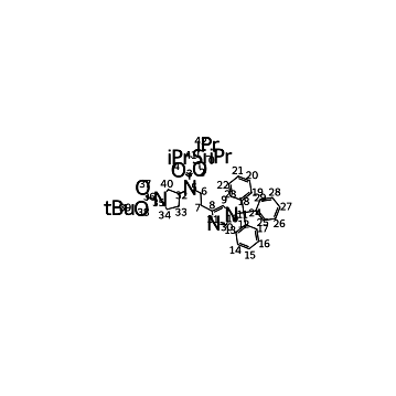 CC(C)[Si](OC(=O)N(CCc1cn(C(c2ccccc2)(c2ccccc2)c2ccccc2)cn1)C1CCN(C(=O)OC(C)(C)C)C1)(C(C)C)C(C)C